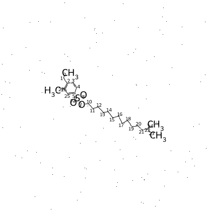 CCc1ccc(S(=O)(=O)OCCCCCCCCCCCCC(C)C)cc1C